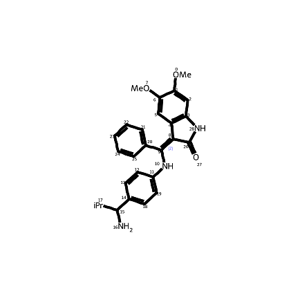 COc1cc2c(cc1OC)/C(=C(/Nc1ccc(C(N)C(C)C)cc1)c1ccccc1)C(=O)N2